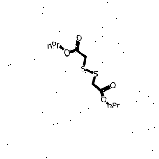 CCCOC(=O)CSSCC(=O)OCCC